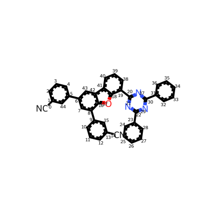 N#Cc1cccc(-c2cc(-c3cccc(C#N)c3)c3oc4c(-c5nc(-c6ccccc6)nc(-c6ccccc6)n5)cccc4c3c2)c1